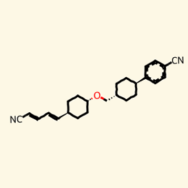 N#CC=CC=C[C@H]1CC[C@H](OC[C@H]2CC[C@H](c3ccc(C#N)cc3)CC2)CC1